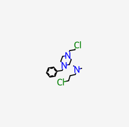 CN(C)CCCCl.ClCCN1CCN(Cc2ccccc2)CC1